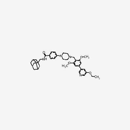 CCOc1cncc(-c2cc(OC)c(CN3CCN(c4ccc(C(=O)NCC56CC7CC(CC(C7)C5)C6)cc4)CC3)c(OC)c2)c1